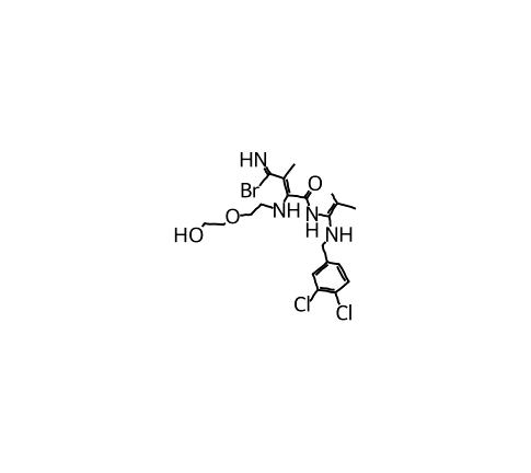 CC(C)=C(NCc1ccc(Cl)c(Cl)c1)NC(=O)/C(NCCOCCO)=C(\C)C(=N)Br